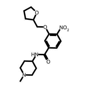 CN1CCC(NC(=O)c2ccc([N+](=O)[O-])c(OCC3CCCO3)c2)CC1